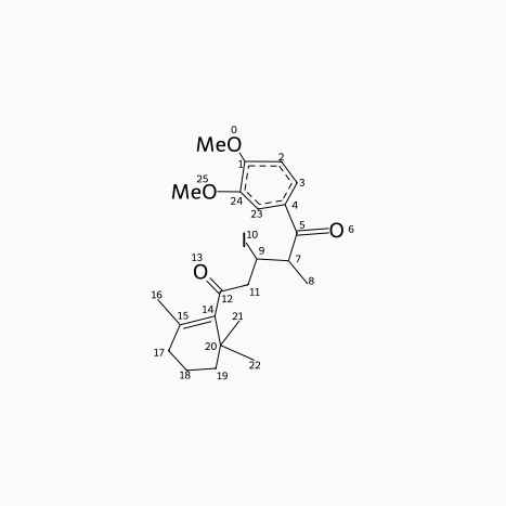 COc1ccc(C(=O)C(C)C(I)CC(=O)C2=C(C)CCCC2(C)C)cc1OC